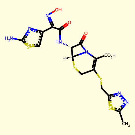 Cc1nnc(CSC2=C(C(=O)O)N3C(=O)[C@@H](NC(=O)/C(=N\O)c4csc(N)n4)[C@@H]3SC2)s1